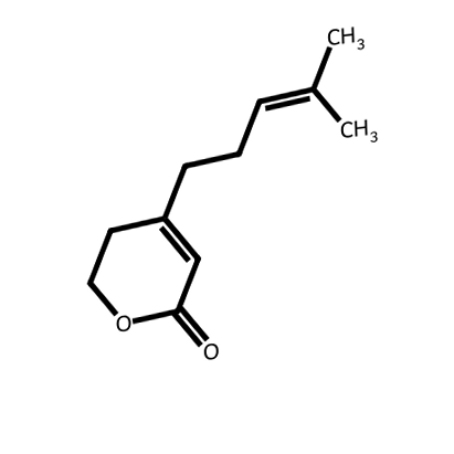 CC(C)=CCCC1=CC(=O)OCC1